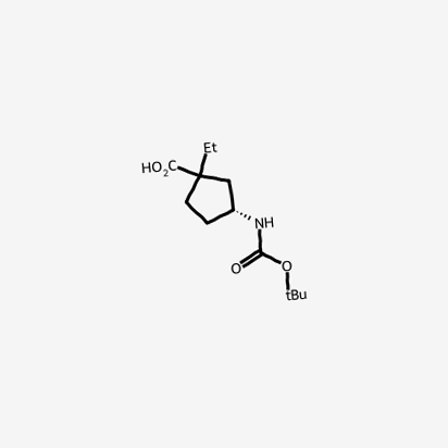 CCC1(C(=O)O)CC[C@@H](NC(=O)OC(C)(C)C)C1